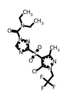 CCN(CC)C(=O)n1cnc(S(=O)(=O)c2c(C)nn(CC(F)(F)F)c2Cl)n1